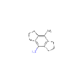 Nc1c2c(c([N+](=O)[O-])c3c1CCC3)CCC2